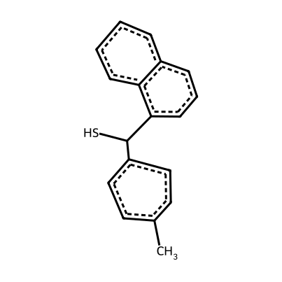 Cc1ccc(C(S)c2cccc3ccccc23)cc1